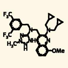 COc1cccc2cc(CN(Cc3cc(C(F)(F)F)cc(C(F)(F)F)c3)C3=NN(C)NN3)c(N(CC3CC3)CC3CC3)nc12